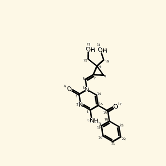 Nc1nc(=O)n(/C=C2\CC2(CO)CO)cc1C(=O)c1ccccc1